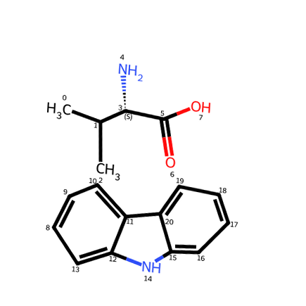 CC(C)[C@H](N)C(=O)O.c1ccc2c(c1)[nH]c1ccccc12